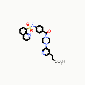 O=C(O)CCc1cncc(N2CCN(C(=O)c3ccc(NS(=O)(=O)c4cccc5cccnc45)cc3)CC2)c1